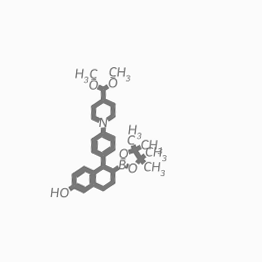 COC(OC)C1CCN(c2ccc(C3c4ccc(O)cc4CCC3B3OC(C)(C)C(C)(C)O3)cc2)CC1